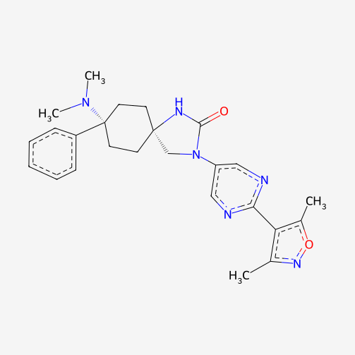 Cc1noc(C)c1-c1ncc(N2C[C@]3(CC[C@@](c4ccccc4)(N(C)C)CC3)NC2=O)cn1